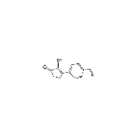 O=C1CCC(c2ccc(C=S)cc2)=C1Br